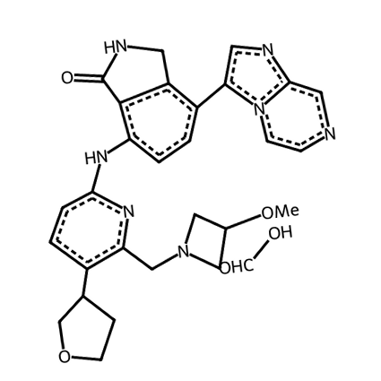 COC1CN(Cc2nc(Nc3ccc(-c4cnc5cnccn45)c4c3C(=O)NC4)ccc2C2CCOC2)C1.O=CO